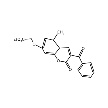 CCOC(=O)COC1=CC(C)C2C=C(C(=O)c3ccccc3)C(=O)OC2=C1